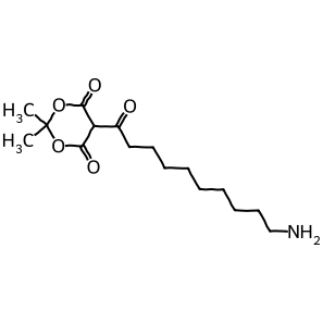 CC1(C)OC(=O)C(C(=O)CCCCCCCCCN)C(=O)O1